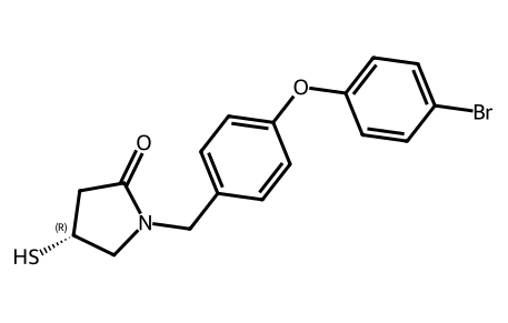 O=C1C[C@@H](S)CN1Cc1ccc(Oc2ccc(Br)cc2)cc1